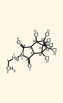 C[CH2][Hg][N]1C(=O)C2C(C1=O)C1(Cl)C(Cl)=C(Cl)C2(Cl)C1(Cl)Cl